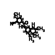 CCc1ccc(C(=O)Nc2cnc3c(c2)NC(C)CC3(C)C)cc1C#N